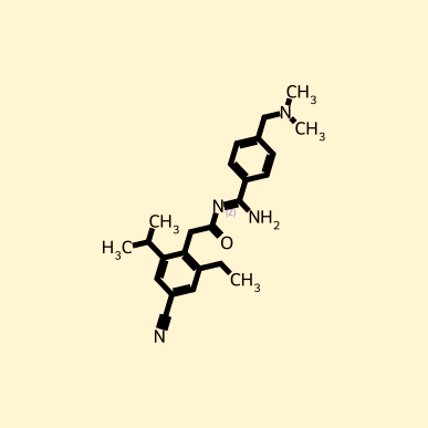 CCc1cc(C#N)cc(C(C)C)c1CC(=O)/N=C(\N)c1ccc(CN(C)C)cc1